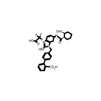 CCCCc1nc2c(n1Cc1ccc(-c3ccccc3C(=O)O)cc1)CC(=NC(=O)[C@@H]1CCCC[C@@H]1C=O)C=C2.O=C(O)C(F)(F)F